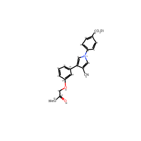 CCOC(=O)c1ccc(-n2cc(C#N)c(-c3cccc(OCC(=O)OC)c3)c2)cc1